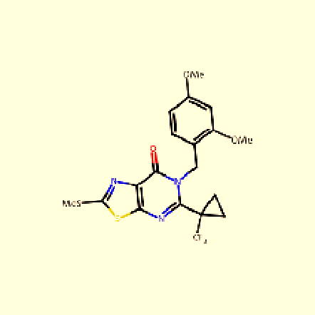 COc1ccc(Cn2c(C3(C(F)(F)F)CC3)nc3sc(SC)nc3c2=O)c(OC)c1